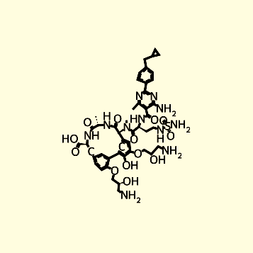 Cc1nc(-c2ccc(CC3CC3)cc2)nc(N)c1C(=O)N[C@@H](CCNS(N)(=O)=O)C(=O)N(C)[C@@H]1C(=O)N[C@@H](C)C(=O)N[C@H](C(=O)O)Cc2ccc(OC[C@H](O)CN)c(c2)-c2cc1cc(OC[C@H](O)CN)c2O